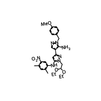 CCOC(Cn1nc(-c2cnn(Cc3ccc(OC)cc3)c2N)cc1Nc1cc([N+](=O)[O-])c(C)cc1C)OCC